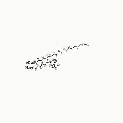 CCCCCCCCCCCCCCCCCCCCC(CCCCCCCCCCCCCCCC)C(=O)C(CCCCCCCCCCCCCCCC)C(=O)O